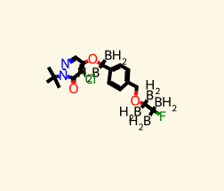 BC(B)(Oc1cnn(C(C)(C)C)c(=O)c1Cl)c1ccc(COC(B)(B)C(B)(B)F)cc1